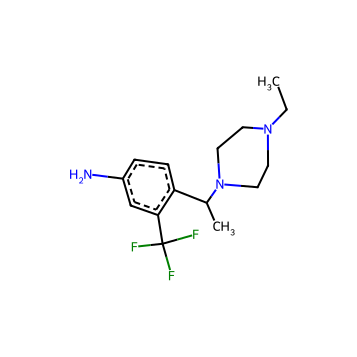 CCN1CCN(C(C)c2ccc(N)cc2C(F)(F)F)CC1